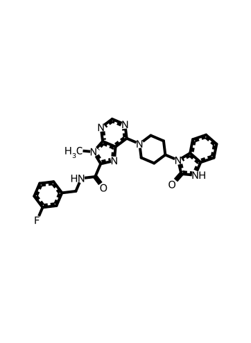 Cn1c(C(=O)NCc2cccc(F)c2)nc2c(N3CCC(n4c(=O)[nH]c5ccccc54)CC3)ncnc21